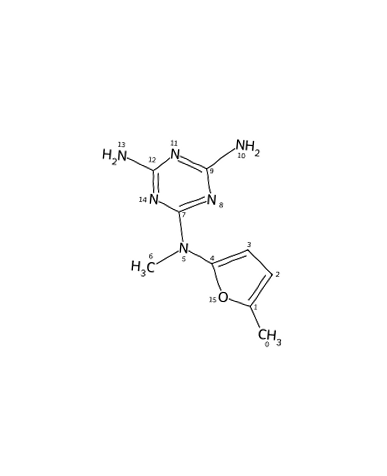 Cc1ccc(N(C)c2nc(N)nc(N)n2)o1